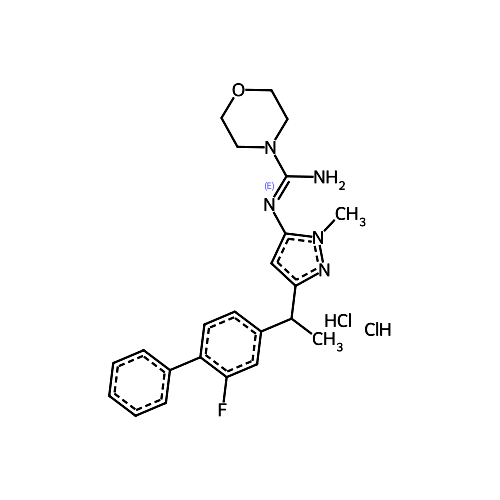 CC(c1ccc(-c2ccccc2)c(F)c1)c1cc(/N=C(\N)N2CCOCC2)n(C)n1.Cl.Cl